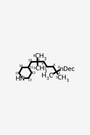 CCCCCCCCCCC(C)(C)CCCC(C)(C)CC1CCNCC1